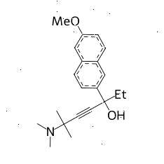 CCC(O)(C#CC(C)(C)N(C)C)c1ccc2cc(OC)ccc2c1